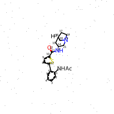 CC(=O)Nc1ccccc1-c1ccc(C(=O)N[C@@H]2C[C@H]3CCN(C3)C2)s1